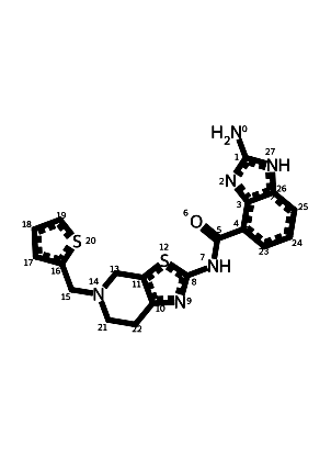 Nc1nc2c(C(=O)Nc3nc4c(s3)CN(Cc3cccs3)CC4)cccc2[nH]1